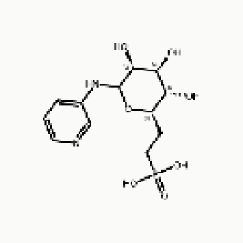 O=P(O)(O)CC[C@H]1OC(Nc2cccnc2)[C@@H](O)[C@@H](O)[C@@H]1O